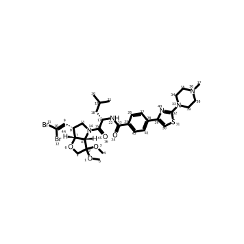 COC1(OC)CO[C@@H]2[C@H](C=C(Br)Br)CN(C(=O)[C@H](CC(C)C)NC(=O)c3ccc(-c4csc(N5CCN(C)CC5)n4)cc3)[C@@H]21